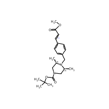 COC(=O)/C=C/c1ccc(CN2[C@H](C)CN(C(=O)OC(C)(C)C)C[C@@H]2C)cc1